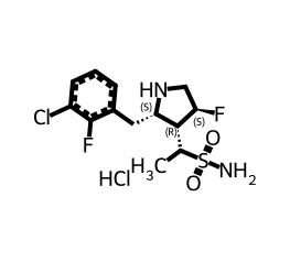 CC([C@H]1[C@H](F)CN[C@H]1Cc1cccc(Cl)c1F)S(N)(=O)=O.Cl